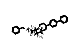 CC(O)(C(F)F)C(C)(C(=O)NOCc1ccccc1)N1CCC(c2ccc(-c3ccccc3)cc2)CC1